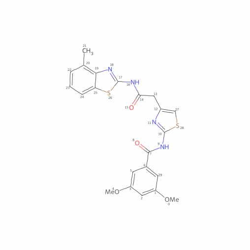 COc1cc(OC)cc(C(=O)Nc2nc(CC(=O)Nc3nc4c(C)cccc4s3)cs2)c1